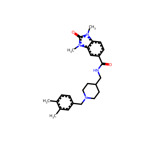 Cc1ccc(CN2CCC(CNC(=O)c3ccc4c(c3)n(C)c(=O)n4C)CC2)cc1C